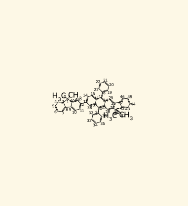 CC1(C)c2ccccc2-c2ccc(-c3ccc4c(-c5ccccc5)c5cc6c(cc5c(-c5ccccc5)c4c3)S(C)(C)c3ccccc3-6)cc21